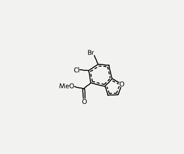 COC(=O)c1c(Cl)c(Br)cc2occc12